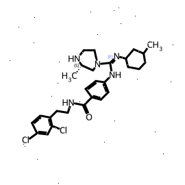 CC1CCCC(/N=C(\Nc2ccc(C(=O)NCCc3ccc(Cl)cc3Cl)cc2)N2CCN[C@@H](C)C2)C1